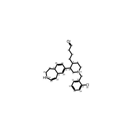 O=CCCCC1CCN(Cc2ccccc2Cl)CC1C1=CC2C=CNCCC2C=C1